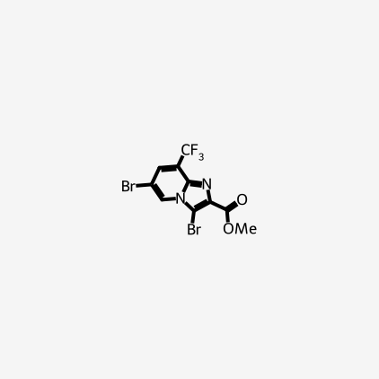 COC(=O)c1nc2c(C(F)(F)F)cc(Br)cn2c1Br